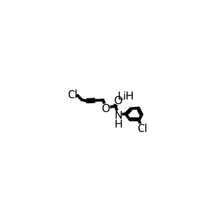 O=C(Nc1cccc(Cl)c1)OCC#CCCl.[LiH]